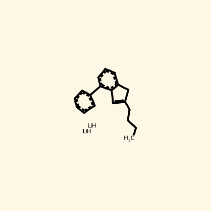 CCCCC1=Cc2c(cccc2-c2ccccc2)C1.[LiH].[LiH]